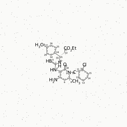 B=C(Nc1c(N)cc(C)n(Cc2ccccc2Cl)c1=O)N[C@@H](CC(=O)OCC)c1ccc(C)cc1